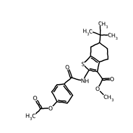 COC(=O)c1c(NC(=O)c2ccc(OC(C)=O)cc2)sc2c1CCC(C(C)(C)C)C2